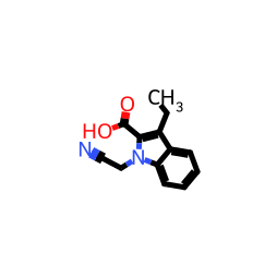 CCc1c(C(=O)O)n(CC#N)c2ccccc12